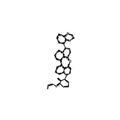 C=C1C(c2ccc3oc4ccc(-c5cccc6nccnc56)c5cccc(c6cccc2c36)c45)=CC=C/C1=N/C=C\C